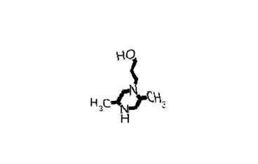 CC1CN(CCCO)C(C)CN1